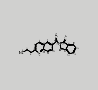 N#CCCc1ccc2cc(C(=O)N3Cc4ccccc4C3=O)ccc2n1